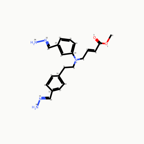 COC(=O)C=CCN(CCc1ccc(C=NN)cc1)c1cccc(C=NN)c1